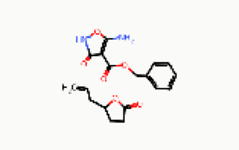 C=CCC1CCC(=O)O1.Nc1o[nH]c(=O)c1C(=O)OCc1ccccc1